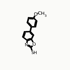 COc1ccc(-c2ccc3nc(S)oc3c2)cc1